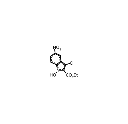 CCOC(=O)c1c(Cl)c2cc([N+](=O)[O-])ccc2n1O